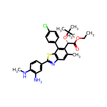 CCOC(=O)[C@@H](OC(C)(C)C)c1c(C)cc2nc(-c3ccc(NC)c(N)c3)sc2c1-c1ccc(Cl)cc1